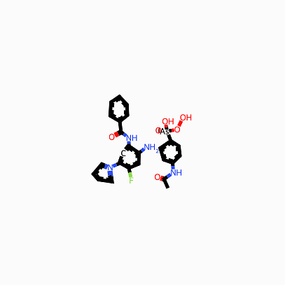 CC(=O)Nc1ccc([As](=O)(O)OO)cc1.Nc1cc(F)c(-n2cccc2)cc1NC(=O)c1ccccc1